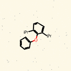 CC(C)c1cccc(C(C)C)c1Oc1ccccc1